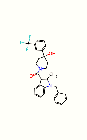 Cc1c(C(=O)N2CCC(O)(c3cccc(C(F)(F)F)c3)CC2)c2ccccc2n1Cc1ccccc1